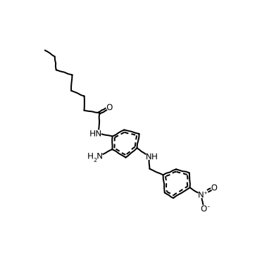 CCCCCCCC(=O)Nc1ccc(NCc2ccc([N+](=O)[O-])cc2)cc1N